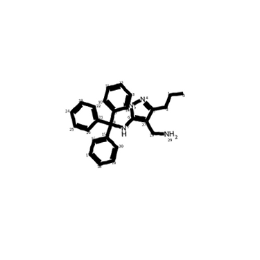 CCCc1n[nH]c(NC(c2ccccc2)(c2ccccc2)c2ccccc2)c1CN